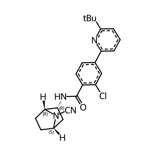 CC(C)(C)c1cccc(-c2ccc(C(=O)N[C@@H]3C[C@@H]4CC[C@H]3N4C#N)c(Cl)c2)n1